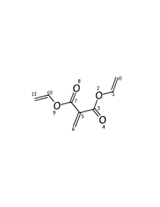 C=COC(=O)C(=C)C(=O)OC=C